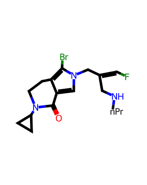 CCCNC/C(=C\F)Cn1cc2c(c1Br)CCN(C1CC1)C2=O